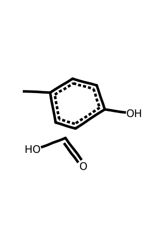 Cc1ccc(O)cc1.O=CO